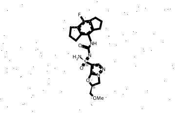 COC[C@@H]1Cn2ncc([S@@](N)(=O)=NC(=O)Nc3c4c(c(F)c5c3CCC5)CCC4)c2O1